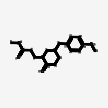 COC(=O)CCC1CC(Cc2ccc(OC)cc2)CCC1=O